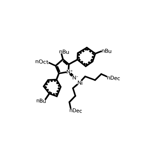 CCCCCCCCC1=C(c2ccc(CCCC)cc2)[N+](=[N-])C(c2ccc(CCCC)cc2)=C1CCCC.CCCCCCCCCCCC[CH2][Ni][CH2]CCCCCCCCCCCC